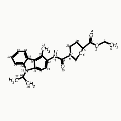 CCOC(=O)C1CCN(C(=O)Nc2ccc3c(c2C)c2ccccc2n3C(C)C)CC1